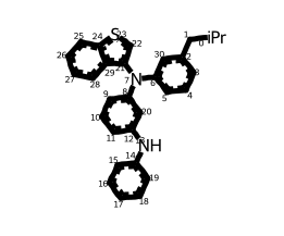 CC(C)Cc1cccc(N(c2cccc(Nc3ccccc3)c2)c2csc3ccccc23)c1